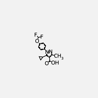 Cc1nn(-c2ccc(OC(F)F)cc2)c(C2CC2)c1C(=O)O